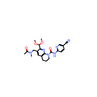 COC(OC)c1nc2c(cc1CN(C)C(C)=O)CCCN2C(=O)Nc1ccc(C#N)cn1